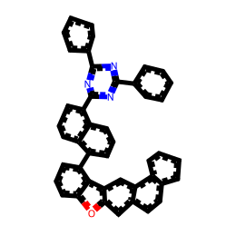 c1ccc(-c2nc(-c3ccccc3)nc(-c3cccc4c(-c5cccc6oc7cc8ccc9ccccc9c8cc7c56)cccc34)n2)cc1